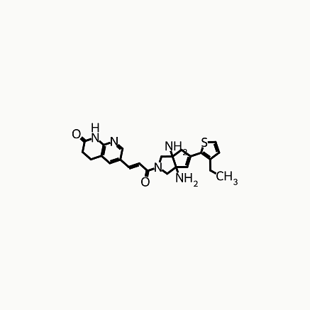 CCc1ccsc1C1=CC2(N)CN(C(=O)/C=C/c3cnc4c(c3)CCC(=O)N4)CC2(N)C1